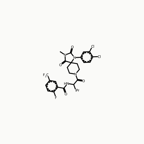 CC(C)C(NC(=O)c1cc(C(F)(F)F)ccc1F)C(=O)N1CCC2(CC1)C(=O)N(C)C(=O)N2c1ccc(Cl)c(Cl)c1